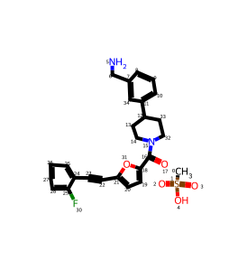 CS(=O)(=O)O.NCc1cccc(C2CCN(C(=O)c3ccc(C#Cc4ccccc4F)o3)CC2)c1